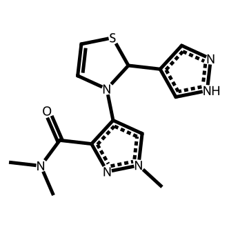 CN(C)C(=O)c1nn(C)cc1N1C=CSC1c1cn[nH]c1